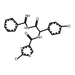 N=C(NC(=O)C(NC(=O)c1cnc(Cl)s1)c1ccc(Cl)cc1)c1ccccc1